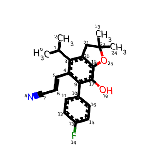 CC(C)c1c(/C=C/C#N)c(-c2ccc(F)cc2)c(O)c2c1CC(C)(C)O2